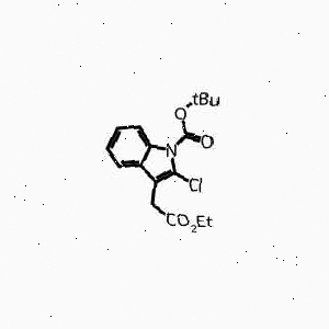 CCOC(=O)Cc1c(Cl)n(C(=O)OC(C)(C)C)c2ccccc12